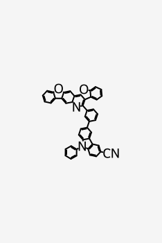 N#Cc1ccc2c(c1)c1cc(-c3cccc(-c4nc5cc6c(cc5c5oc7ccccc7c45)oc4ccccc46)c3)ccc1n2-c1ccccc1